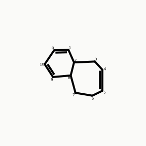 C1=CC2CC=CCCC2C=C1